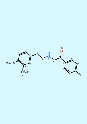 COc1ccc(CCNCC(O)c2ccc(C)cc2)cc1OC